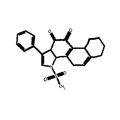 CS(=O)(=O)N1C=C(c2ccccc2)C2C(=O)C(=O)C3=C(CC=C4CCCCC43)C21